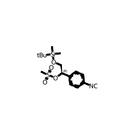 [C-]#[N+]c1ccc([C@H](CO[Si](C)(C)C(C)(C)C)OS(C)(=O)=O)cc1